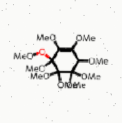 COOC1(OC)C(OC)=C(OC)C(OC)C(OC)(OC)C1(OC)OC